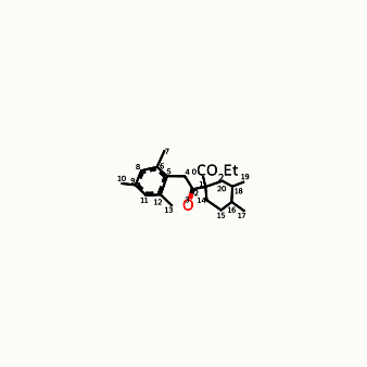 CCOC(=O)C1(C(=O)Cc2c(C)cc(C)cc2C)CCC(C)C(C)C1